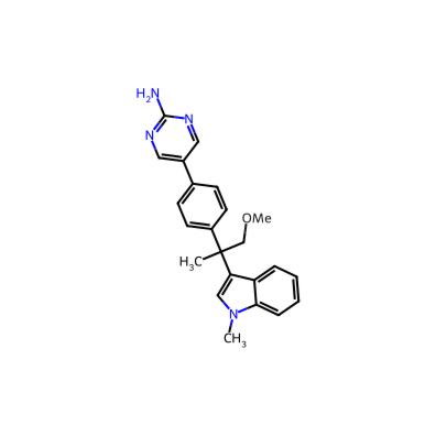 COCC(C)(c1ccc(-c2cnc(N)nc2)cc1)c1cn(C)c2ccccc12